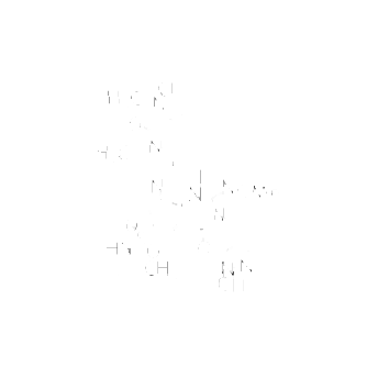 CON=c1[nH]c2c(N3CCN(C(=O)C4(N(C)C)CC4)C(C)C3)cc(S(=O)(=O)NC3(C)CC3)cc2c(=O)n1Cc1cnn(C)c1